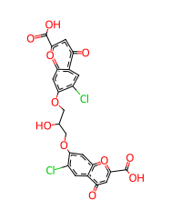 O=C(O)c1cc(=O)c2cc(Cl)c(OCC(O)COc3cc4oc(C(=O)O)cc(=O)c4cc3Cl)cc2o1